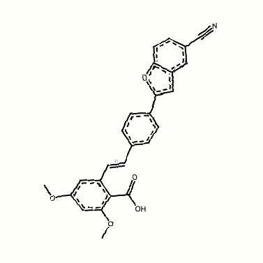 COc1cc(/C=C/c2ccc(-c3cc4cc(C#N)ccc4o3)cc2)c(C(=O)O)c(OC)c1